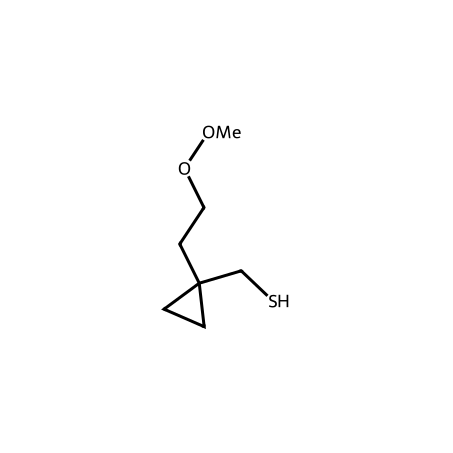 COOCCC1(CS)CC1